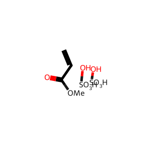 C=CC(=O)OC.O=S(=O)(O)O.O=S(=O)(O)O